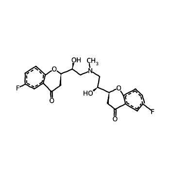 CN(C[C@H](O)[C@@H]1CC(=O)c2cc(F)ccc2O1)C[C@H](O)[C@H]1CC(=O)c2cc(F)ccc2O1